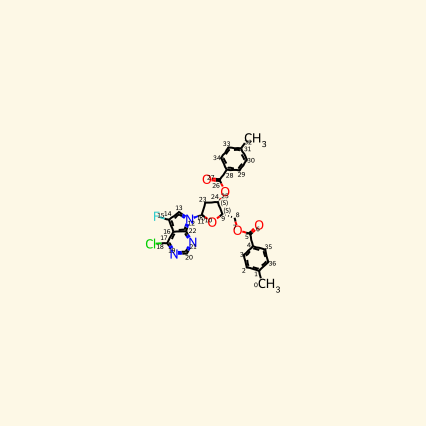 Cc1ccc(C(=O)OC[C@@H]2O[C@@H](n3cc(F)c4c(Cl)ncnc43)C[C@@H]2OC(=O)c2ccc(C)cc2)cc1